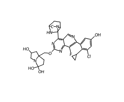 Oc1cc(Cl)c(C2CC2)c(-c2ncc3c(N4CC5CCC4CN5)nc(OCC45CCC(O)(O)N4CC(O)C5)nc3c2F)c1